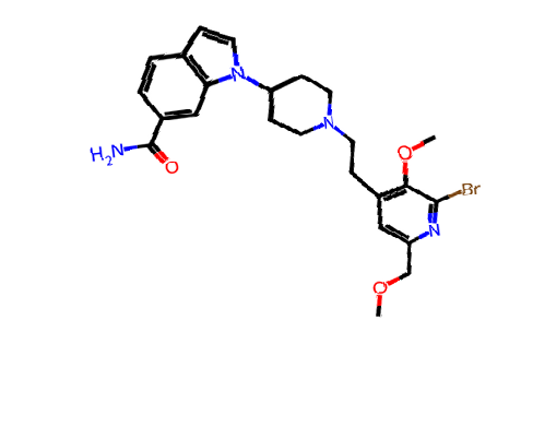 COCc1cc(CCN2CCC(n3ccc4ccc(C(N)=O)cc43)CC2)c(OC)c(Br)n1